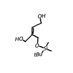 CC(C)(C)[Si](C)(C)OC/C(=C\CO)CO